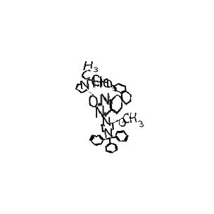 COC[C@H]1CN(C(c2ccccc2)(c2ccccc2)c2ccccc2)CCN1c1nc(OC[C@@H]2CCCN2C(C)C)nc2c1CCC1(CCCc3ccc(O)cc31)C2